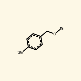 [CH2]COCc1ccc(C(C)(C)C)cc1